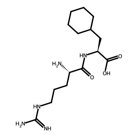 N=C(N)NCCC[C@H](N)C(=O)N[C@@H](CC1CCCCC1)C(=O)O